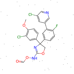 COc1ccc(C2(c3ccc(F)c(-c4cncc(Cl)c4)c3)COC(NOC=O)=N2)cc1Cl